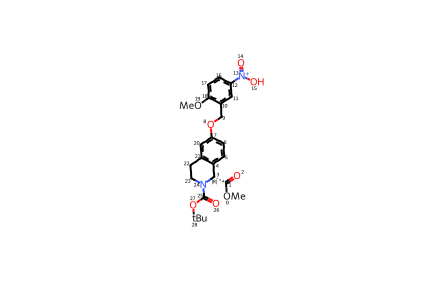 COC(=O)[C@H]1c2ccc(OCc3cc([N+](=O)O)ccc3OC)cc2CCN1C(=O)OC(C)(C)C